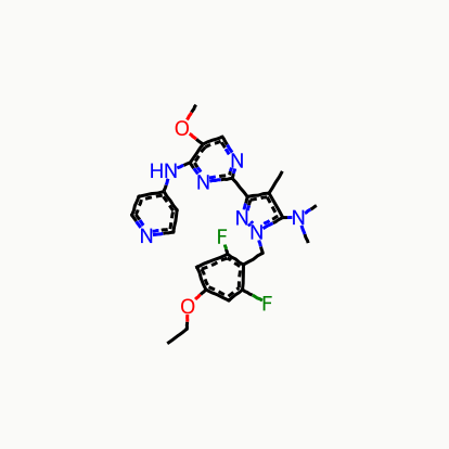 CCOc1cc(F)c(Cn2nc(-c3ncc(OC)c(Nc4ccncc4)n3)c(C)c2N(C)C)c(F)c1